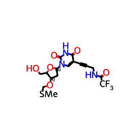 CSCO[C@@H]1C[C@H](n2cc(C#CCNC(=O)C(F)(F)F)c(=O)[nH]c2=O)OC1CO